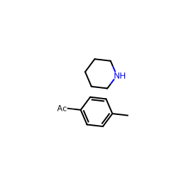 C1CCNCC1.CC(=O)c1ccc(C)cc1